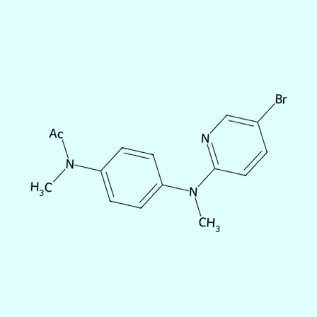 CC(=O)N(C)c1ccc(N(C)c2ccc(Br)cn2)cc1